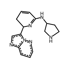 C1=CC(NC2CCNC2)=NC(c2cnc3cccnn23)C1